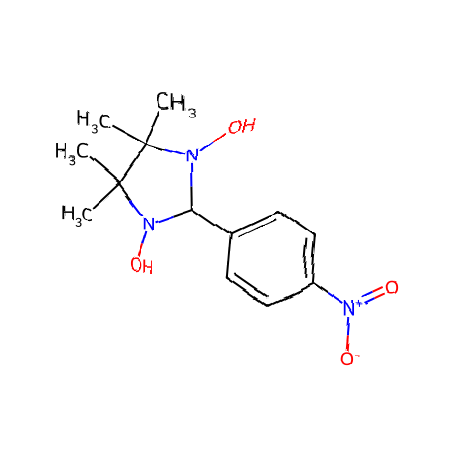 CC1(C)N(O)C(c2ccc([N+](=O)[O-])cc2)N(O)C1(C)C